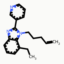 C=CCCCn1c(-c2cccnc2)nc2cccc(CC)c21